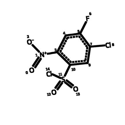 O=[N+]([O-])c1cc(F)c(Cl)cc1S(=O)(=O)Cl